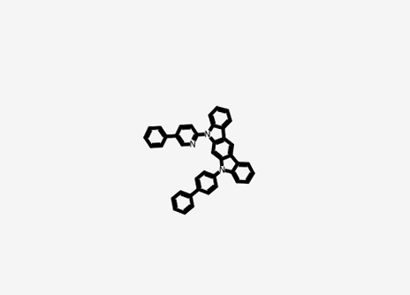 c1ccc(-c2ccc(-n3c4ccccc4c4cc5c6ccccc6n(-c6ccc(-c7ccccc7)cn6)c5cc43)cc2)cc1